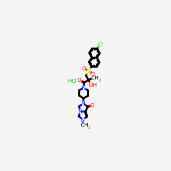 CN1C=C2C(=O)N(C3CCN(C(=O)C(C)(O)CS(=O)(=O)c4ccc5cc(Cl)ccc5c4)CC3)CN2C1.Cl